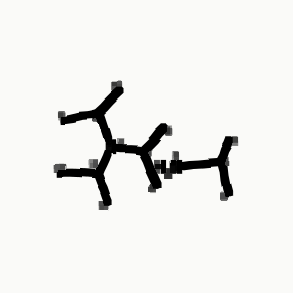 CC(C)N.CC(C)N(C(C)C)C(C)C